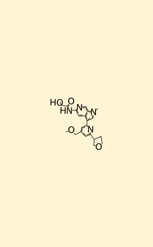 COCc1cc(-c2cn(C)c3cnc(NC(=O)CO)cc23)nc(C2CCOC2)c1